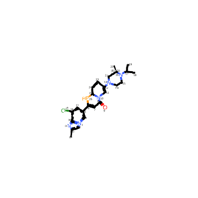 Cc1cn2cc(C3=CC(=O)N4C=C(N5CCN(C(C)C)[C@H](C)C5)C=CC4P3)cc(Cl)c2n1